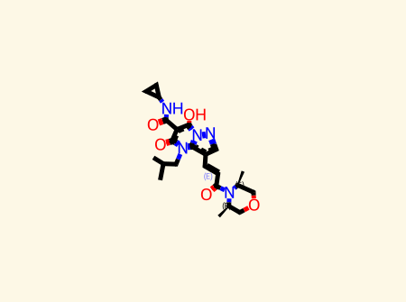 CC(C)Cn1c(=O)c(C(=O)NC2CC2)c(O)n2ncc(/C=C/C(=O)N3[C@H](C)COC[C@@H]3C)c12